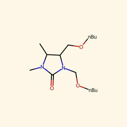 CCCCOCC1C(C)N(C)C(=O)N1COCCCC